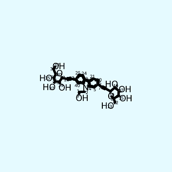 OCCn1c2cc(C#CC3OC(CO)[C@@H](O)C(O)C3O)ccc2c2ccc(C#CC3OC(CO)[C@@H](O)C(O)C3O)cc21